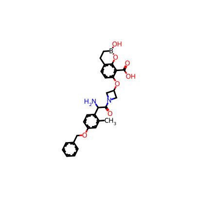 Cc1cc(OCc2ccccc2)ccc1C(N)C(=O)N1CC(Oc2ccc3c(c2C(=O)O)OB(O)CC3)C1